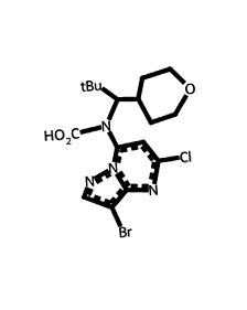 CC(C)(C)C(C1CCOCC1)N(C(=O)O)c1cc(Cl)nc2c(Br)cnn12